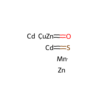 [Cd].[Cu].[Mn].[O]=[Zn].[S]=[Cd].[Zn]